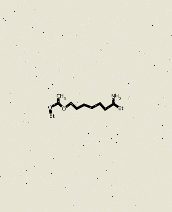 CCOC(C)OCCCCCCC(N)CC